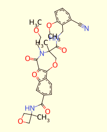 COCCN1C(=O)c2oc3cc(C(=O)NC4(C)COC4)ccc3c2OCC1(C)C(=O)NCc1c(C#N)cccc1OC